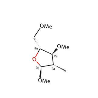 COC[C@H]1O[C@H](OC)[C@@H](C)[C@@H]1OC